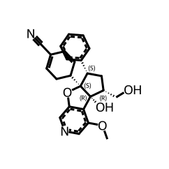 COc1cncc2c1[C@]1(O)[C@@H](CO)C[C@@H](c3ccccc3)[C@]1(C1C=CC(C#N)=CC1)O2